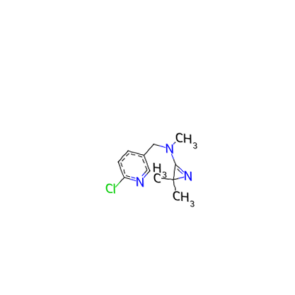 CN(Cc1ccc(Cl)nc1)C1=NC1(C)C